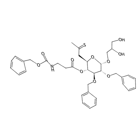 CC(=S)C[C@H]1O[C@H](OCC(O)CO)[C@H](OCc2ccccc2)[C@@H](OCc2ccccc2)[C@@H]1OC(=O)CCNC(=O)OCc1ccccc1